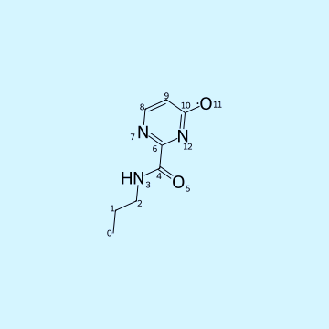 CCCNC(=O)c1nccc([O])n1